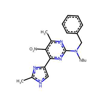 CCCCN(Cc1ccccc1)c1nc(C)c([N+](=O)[O-])c(-c2c[nH]c(C)n2)n1